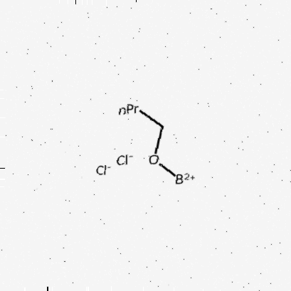 [B+2]OCCCC.[Cl-].[Cl-]